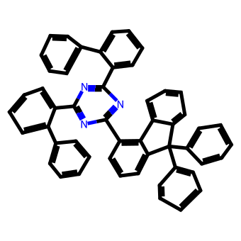 c1ccc(-c2ccccc2-c2nc(-c3ccccc3-c3ccccc3)nc(-c3cccc4c3-c3ccccc3C4(c3ccccc3)c3ccccc3)n2)cc1